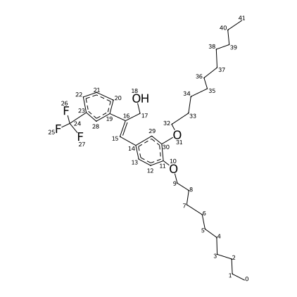 CCCCCCCCCCOc1ccc(C=C(CO)c2cccc(C(F)(F)F)c2)cc1OCCCCCCCCCC